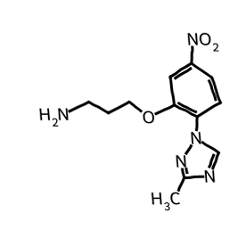 Cc1ncn(-c2ccc([N+](=O)[O-])cc2OCCCN)n1